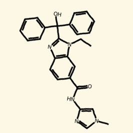 CCn1c(C(O)(c2ccccc2)c2ccccc2)nc2ccc(C(=O)Nc3cn(C)cn3)cc21